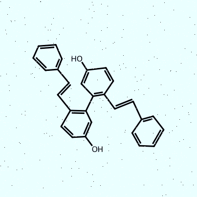 Oc1ccc(C=Cc2ccccc2)c(-c2cc(O)ccc2C=Cc2ccccc2)c1